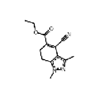 CCOC(=O)C1=C(C#N)c2c(C)nn(C)c2CC1